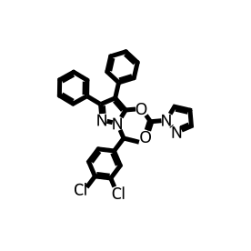 CC(c1ccc(Cl)c(Cl)c1)n1nc(-c2ccccc2)c(-c2ccccc2)c1OC(=O)n1cccn1